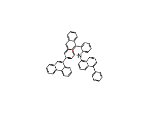 c1ccc(-c2cccc3c(N(c4cccc(-c5cc6ccccc6c6ccccc56)c4)c4ccccc4-c4cccc5ccccc45)cccc23)cc1